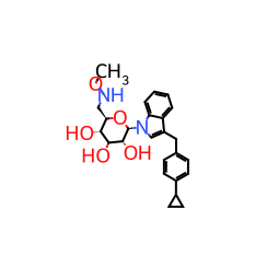 CONC[C@H]1O[C@@H](n2cc(Cc3ccc(C4CC4)cc3)c3ccccc32)[C@H](O)[C@@H](O)[C@@H]1O